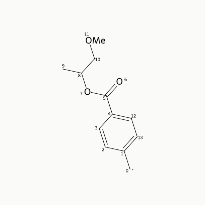 [CH2]c1ccc(C(=O)OC(C)COC)cc1